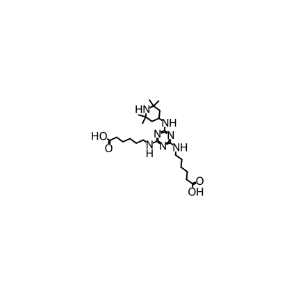 CC1(C)CC(Nc2nc(NCCCCCC(=O)O)nc(NCCCCCC(=O)O)n2)CC(C)(C)N1